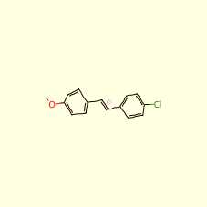 COc1ccc(/C=C/c2ccc(Cl)cc2)cc1